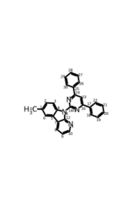 Cc1ccc2c(c1)c1cccnc1n2-c1nc(-c2ccccc2)cc(-c2ccccc2)n1